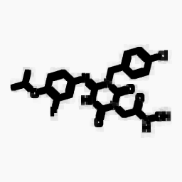 CC(C)Oc1ccc(/N=c2\[nH]c(=O)n(CC(=O)NO)c(=O)n2Cc2ccc(Cl)cc2)cc1F